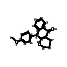 COc1ccc(-n2c3c(c(=O)c4ccccc42)CCCO3)cc1